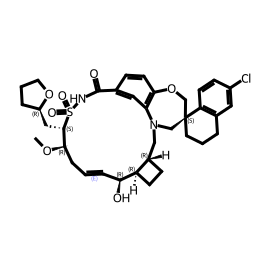 CO[C@@H]1C/C=C/[C@H](O)[C@@H]2CC[C@H]2CN2C[C@@]3(CCCc4cc(Cl)ccc43)COc3ccc(cc32)C(=O)NS(=O)(=O)[C@H]1C[C@H]1CCCO1